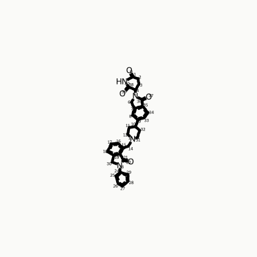 O=C1CCC(N2Cc3cc(C4CCN(Cc5cccc6c5C(=O)N(c5ccccc5)C6)CC4)ccc3C2=O)C(=O)N1